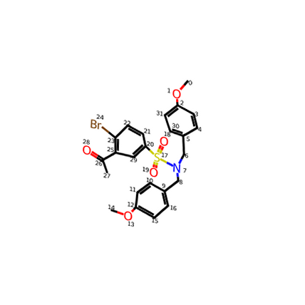 COc1ccc(CN(Cc2ccc(OC)cc2)S(=O)(=O)c2ccc(Br)c(C(C)=O)c2)cc1